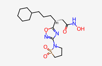 O=C(C[C@@H](CCCC1CCCCC1)c1nc(N2CCCS2(=O)=O)no1)NO